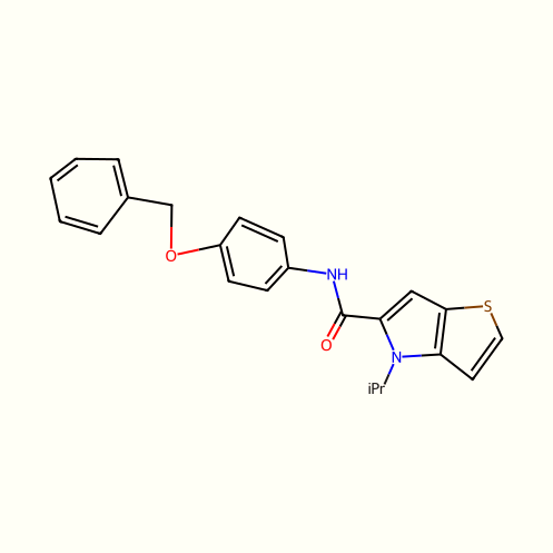 CC(C)n1c(C(=O)Nc2ccc(OCc3ccccc3)cc2)cc2sccc21